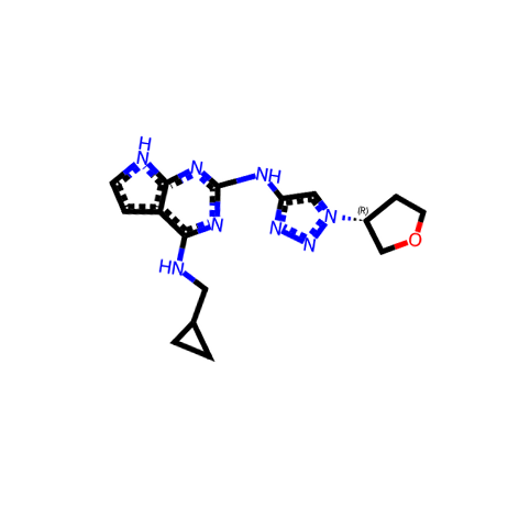 c1cc2c(NCC3CC3)nc(Nc3cn([C@@H]4CCOC4)nn3)nc2[nH]1